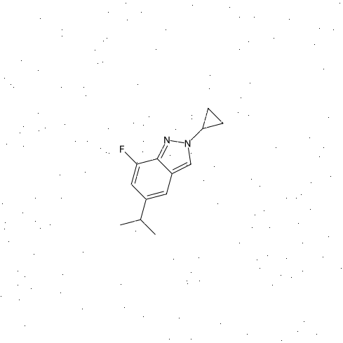 CC(C)c1cc(F)c2nn(C3CC3)cc2c1